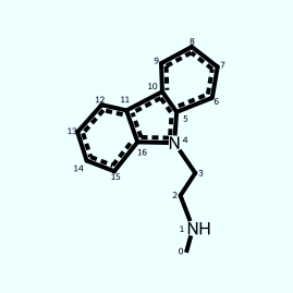 CNCCn1c2ccccc2c2ccccc21